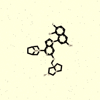 CCc1c(F)ccc2cc(O)cc(-n3ccc4c(N5CC6CCC(C5)N6)nc(OC[C@@]56CCCN5C[C@H](F)C6)cc43)c12